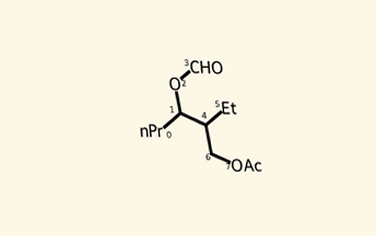 CCCC(OC=O)C(CC)COC(C)=O